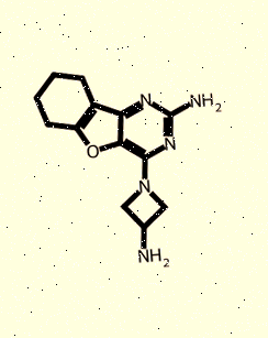 Nc1nc(N2CC(N)C2)c2oc3c(c2n1)CCCC3